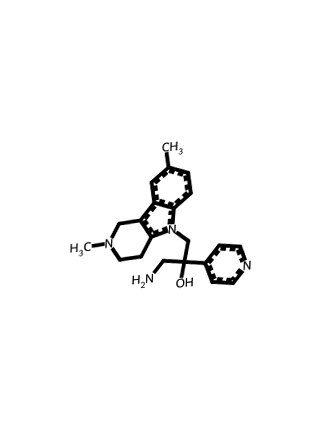 Cc1ccc2c(c1)c1c(n2CC(O)(CN)c2ccncc2)CCN(C)C1